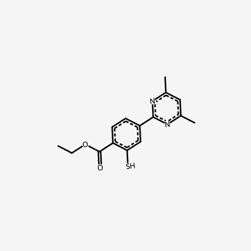 CCOC(=O)c1ccc(-c2nc(C)cc(C)n2)cc1S